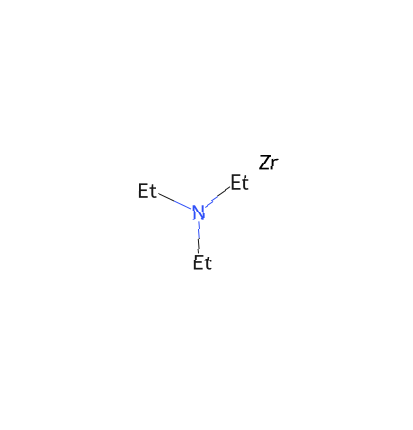 CCN(CC)CC.[Zr]